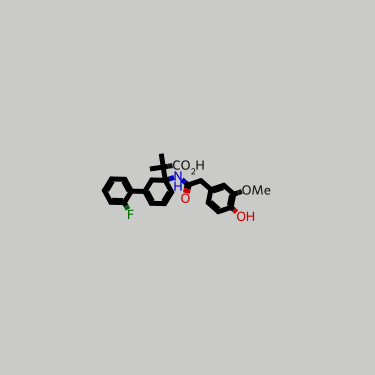 COc1cc(CC(=O)NC2(C(C)(C)C(=O)O)C=CC=C(c3ccccc3F)C2)ccc1O